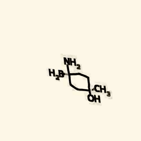 B[C@]1(N)CC[C@@](C)(O)CC1